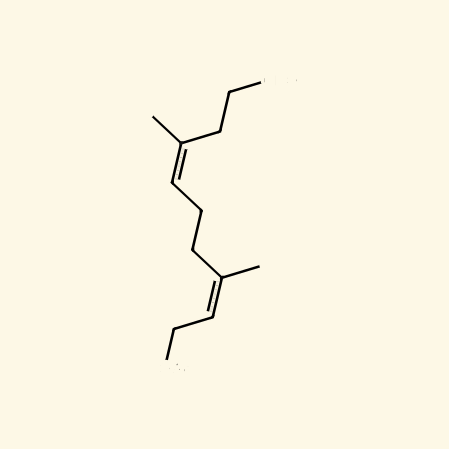 CC(=O)OCC=C(C)CCC=C(C)CCC=O